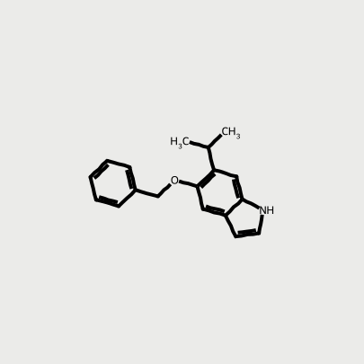 CC(C)c1cc2[nH]ccc2cc1OCc1ccccc1